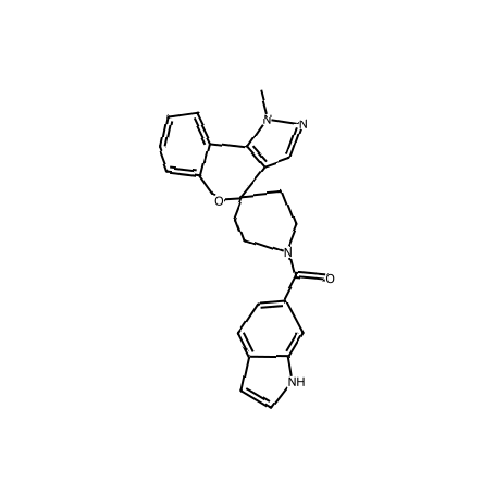 Cn1ncc2c1-c1ccccc1OC21CCN(C(=O)c2ccc3cc[nH]c3c2)CC1